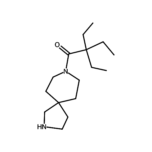 CCC(CC)(CC)C(=O)N1CCC2(CCNC2)CC1